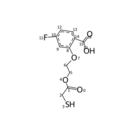 O=C(CS)OCCOc1cc(F)ccc1C(=O)O